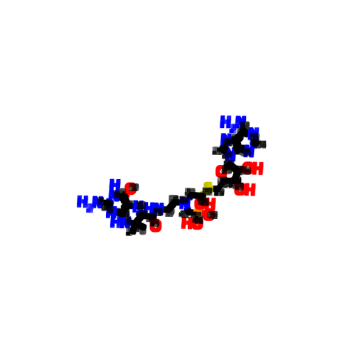 CC1(C)Nc2nc(N)[nH]c(=O)c2N=C1C(=O)NCCN(CCSC[C@H]1O[C@@H](n2cnc3c(N)ncnc32)[C@@H](O)[C@H]1O)CP(=O)(O)O